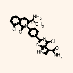 C[C@H](N)c1cc2cccc(Cl)c2c(=O)n1-c1ccc(-c2nc(Cl)c3c(C(N)=O)c[nH]c3n2)cc1